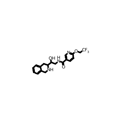 O=C(NCC(O)C1Cc2ccccc2CN1)c1ccc(OCC(F)(F)F)nc1